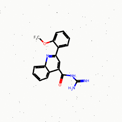 N=C(N)NC(=O)c1cc(-c2ccccc2OC(F)(F)F)nc2ccccc12